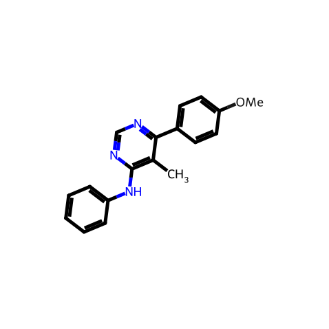 COc1ccc(-c2ncnc(Nc3ccccc3)c2C)cc1